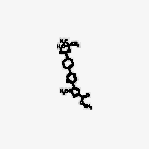 COC(=O)c1cc(-c2ccc(C3=CCN(C(=O)OC(C)(C)C)CC3)cn2)n(C)c1